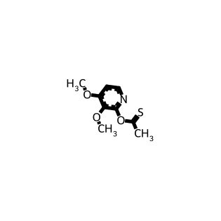 COc1ccnc(OC(C)=S)c1OC